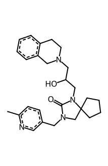 Cc1ccc(CN2CC3(CCCC3)N(CC(O)CN3CCc4ccccc4C3)C2=O)cn1